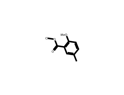 COc1ccc(C)cc1C(=O)OCl